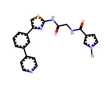 CCn1ccc(C(=O)NCC(=O)Nc2nc(-c3cccc(-c4ccncc4)c3)cs2)c1